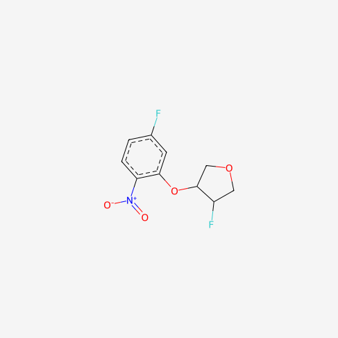 O=[N+]([O-])c1ccc(F)cc1OC1COCC1F